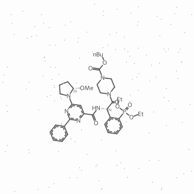 CCCCOC(=O)N1CCN(C(=O)[C@@H](NC(=O)c2cc(N3CCC[C@@H]3OC)nc(-c3ccccc3)n2)c2ccccc2P(=O)(OCC)OCC)CC1